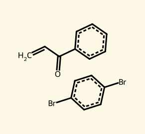 Brc1ccc(Br)cc1.C=CC(=O)c1ccccc1